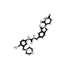 Cc1ccc(NC(=O)NCc2ccc3c(c2)C(=O)N(C2CCC(=O)NC2=O)C3)cc1CN1CCOCC1